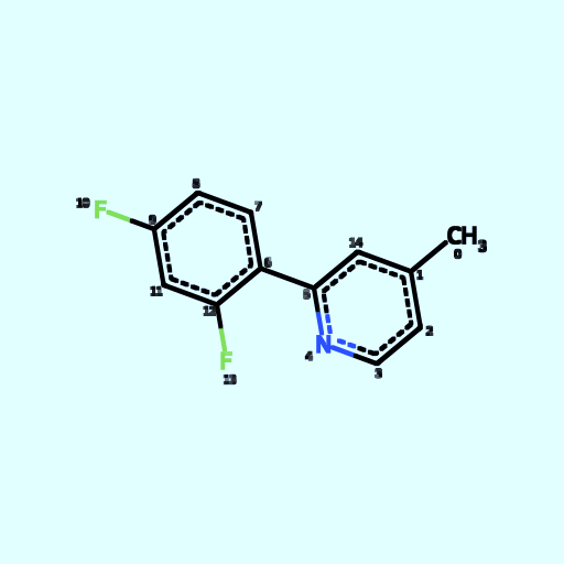 Cc1ccnc(-c2ccc(F)cc2F)c1